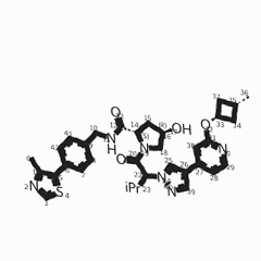 Cc1ncsc1-c1ccc(CNC(=O)[C@@H]2C[C@@H](O)CN2C(=O)C(C(C)C)n2cc(-c3ccnc(O[C@H]4C[C@@H](C)C4)c3)cn2)cc1